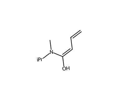 C=C/C=C(/O)N(C)C(C)C